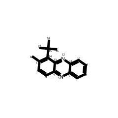 Cc1ccc2nc3ccccc3nc2c1C(C)(C)C